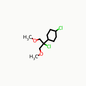 COCC(Cl)(COC)C1CCC(Cl)CC1